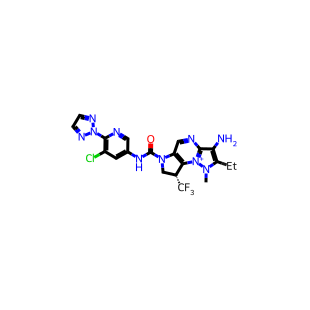 CCc1c(N)c2ncc3c([n+]2n1C)[C@H](C(F)(F)F)CN3C(=O)Nc1cnc(-n2nccn2)c(Cl)c1